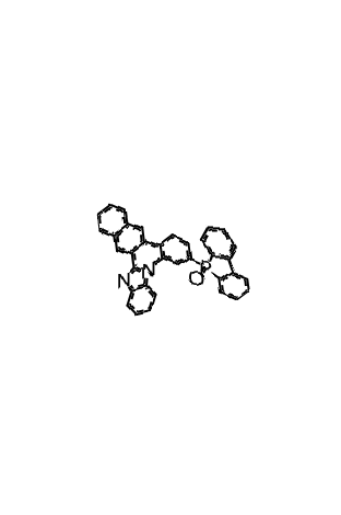 O=P1(c2ccc3c4cc5ccccc5cc4c4nc5ccccc5n4c3c2)c2ccccc2-c2ccccc21